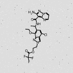 CCOc1c(C(C)NC(=O)c2c(N)nn3cccnc23)cc(Cl)c2cn(CCOC(=O)C(F)(F)F)nc12